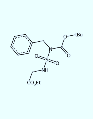 CCOC(=O)CNS(=O)(=O)N(Cc1ccccc1)C(=O)OC(C)(C)C